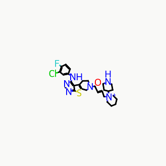 O=C(/C=C/C[N+]1(C2CCNCC2)CCCCC1)N1CCc2c(sc3ncnc(Nc4ccc(F)c(Cl)c4)c23)C1